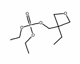 CCOP(=O)(OCC)OCC1(CC)COC1